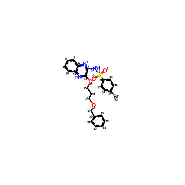 O=S(=O)(Nc1nc2ccccc2nc1OCCCOCc1ccccc1)c1ccc(Br)cc1